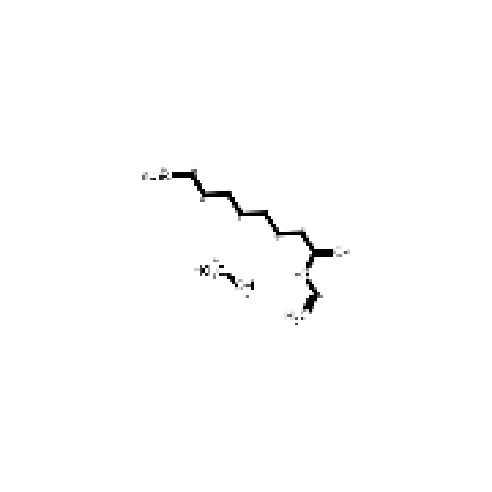 C=COC(=O)CCCCCCCCCCCCCCCCC.O=C(O)O